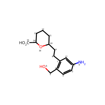 Nc1ccc(CO)c(CCC2CCCC(C(=O)O)O2)c1